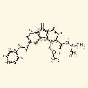 COCc1c(C(=O)OC(C)C)ncc2[nH]c3ccc(OCc4ccncc4)cc3c12